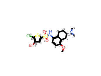 COc1ccc(NS(=O)(=O)c2cc(Br)c(Cl)s2)c2c1C[C@@H](N(C)C)CC2